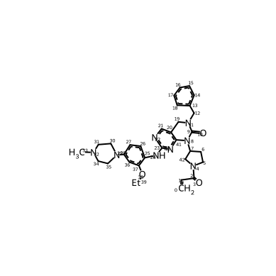 C=CC(=O)N1CCC(N2C(=O)N(Cc3ccccc3)Cc3cnc(Nc4ccc(N5CCN(C)CC5)cc4OCC)nc32)C1